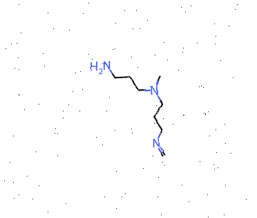 C=NCCCN(C)CCCN